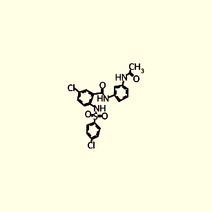 CC(=O)Nc1cccc(NC(=O)c2cc(Cl)ccc2NS(=O)(=O)c2ccc(Cl)cc2)c1